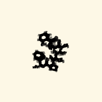 CCC[C@@H](OC(=O)[C@@H]1CCCN1C(=O)/C(C)=C/[C@H](C(C)C)N(C)C(=O)[C@@H](NC(=O)C1CCCCN1C)C(C)C)c1ccccc1